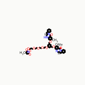 COc1cc2c(cc1OCc1cc(COc3cc4c(cc3C)C(=O)N3c5ccccc5C[C@H]3CN4)cc(OCCOCCOCCOCCC(=O)ON3C(=O)CC(C)C3=O)c1)N=C[C@@H]1Cc3ccccc3N1C2=O